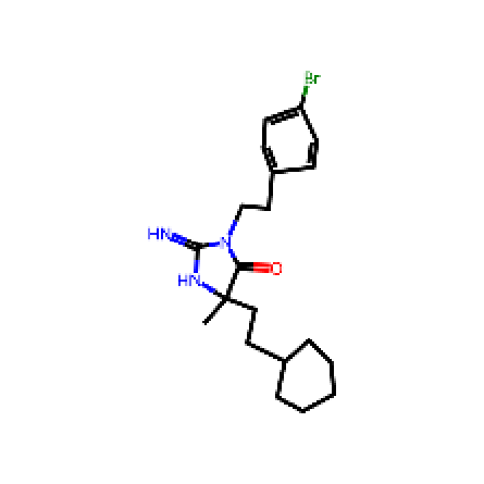 CC1(CCC2CCCCC2)NC(=N)N(CCc2ccc(Br)cc2)C1=O